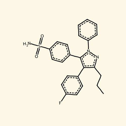 CCCc1nn(-c2ccccc2)c(-c2ccc(S(N)(=O)=O)cc2)c1-c1ccc(F)cc1